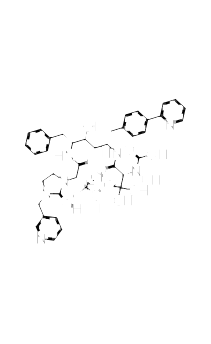 CN(C(=O)O)[C@H](C(=O)N[C@@H](Cc1ccc(-c2ccccn2)cc1)C[C@H](O)[C@H](Cc1ccccc1)NC(=O)[C@@H](N1CCN(Cc2cccnc2)C1=O)C(C)(C)C)C(C)(C)C